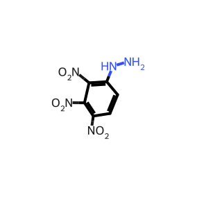 NNc1ccc([N+](=O)[O-])c([N+](=O)[O-])c1[N+](=O)[O-]